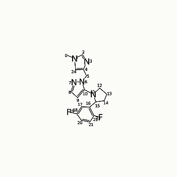 Cn1cnc(Cn2nccc2N2CCCC2c2cc(F)ccc2F)c1